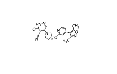 Cc1noc(C)c1-c1ccnc(O[C@@H]2CCN(c3cn[nH]c(=O)c3C#N)C2)c1